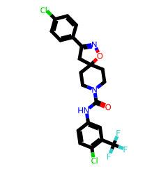 O=C(Nc1ccc(Cl)c(C(F)(F)F)c1)N1CCC2(CC1)CC(c1ccc(Cl)cc1)=NO2